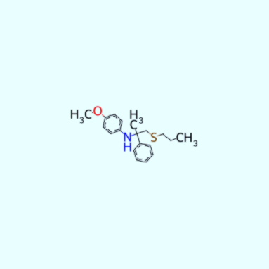 CCCSCC(C)(Nc1ccc(OC)cc1)c1ccccc1